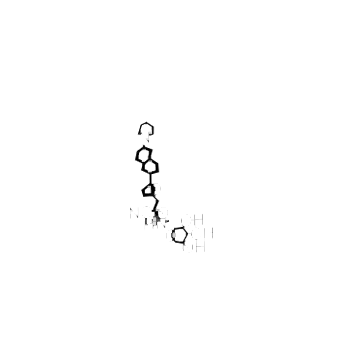 N#C/C(=C\c1ccc(-c2ccc3cc(N4CCCCC4)ccc3c2)o1)S(=O)(=O)NC[C@H]1OC[C@H](O)[C@@H](O)[C@@H]1O